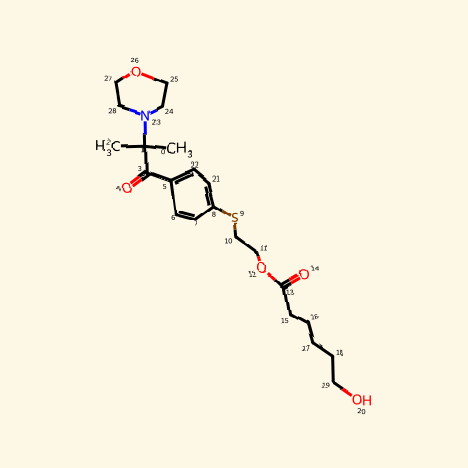 CC(C)(C(=O)c1ccc(SCCOC(=O)CCCCCO)cc1)N1CCOCC1